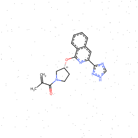 C=C(C)C(=O)N1CC[C@@H](Oc2nc(-c3nc[nH]n3)cc3ccccc23)C1